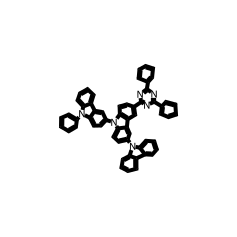 c1ccc(-c2nc(-c3ccccc3)nc(-c3ccc4c(c3)c3cc(-n5c6ccccc6c6ccccc65)ccc3n4-c3ccc4c(c3)c3ccccc3n4-c3ccccc3)n2)cc1